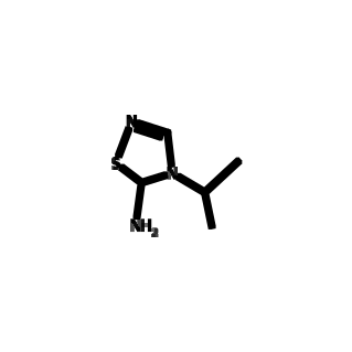 CC(C)N1C=NSC1N